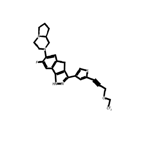 Fc1cc2c(cc1N1CCN3CCCC3C1)Cc1c(-c3csc(C#CCOCC(F)(F)F)c3)n[nH]c1-2